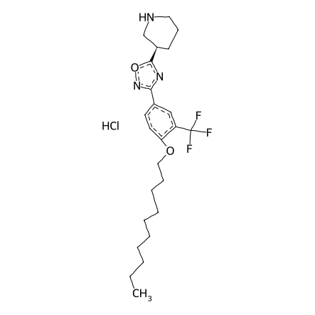 CCCCCCCCCCOc1ccc(-c2noc([C@@H]3CCCNC3)n2)cc1C(F)(F)F.Cl